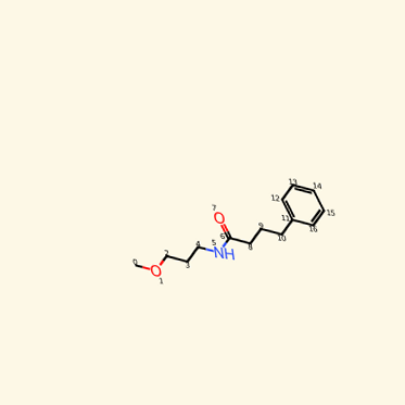 COCCCNC(=O)CCCc1ccccc1